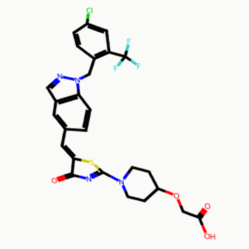 O=C(O)COC1CCN(C2=NC(=O)/C(=C/c3ccc4c(cnn4Cc4ccc(Cl)cc4C(F)(F)F)c3)S2)CC1